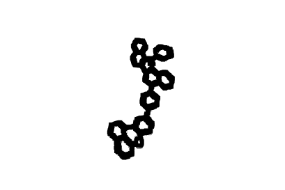 c1ccc(-n2c3c4ccccc4ccc3c3cc(-c4ccc(-c5ccc6c(c5)-c5cccc7cccc(c57)O6)cc4)c4ccccc4c32)cc1